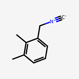 [C-]#[N+]Cc1cccc(C)c1C